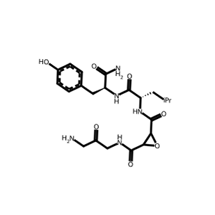 CC(C)C[C@H](NC(=O)C1OC1C(=O)NCC(=O)CN)C(=O)N[C@@H](Cc1ccc(O)cc1)C(N)=O